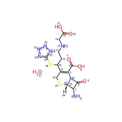 NC1C(=O)N2C(C(=O)O)=C(C(CCNCC(=O)O)Sc3nnn[nH]3)CS[C@@H]12.O